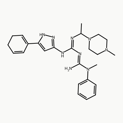 CC(/N=C(\N=C(/N)N(C)c1ccccc1)Nc1cc(C2=CCCC=C2)[nH]n1)N1CCN(C)CC1